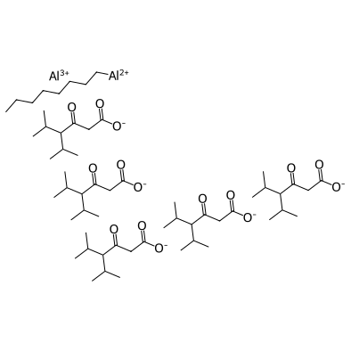 CC(C)C(C(=O)CC(=O)[O-])C(C)C.CC(C)C(C(=O)CC(=O)[O-])C(C)C.CC(C)C(C(=O)CC(=O)[O-])C(C)C.CC(C)C(C(=O)CC(=O)[O-])C(C)C.CC(C)C(C(=O)CC(=O)[O-])C(C)C.CCCCCCC[CH2][Al+2].[Al+3]